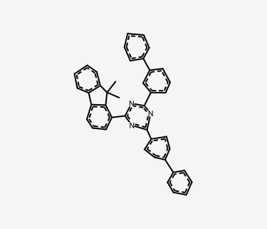 CC1(C)c2ccccc2-c2cccc(-c3nc(-c4ccc(-c5ccccc5)cc4)nc(-c4cccc(-c5ccccc5)c4)n3)c21